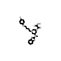 CN(c1nc2ccccc2s1)C1CCCN(CCCCOc2ccc(F)cc2)C1.O=C(O)C(=O)O